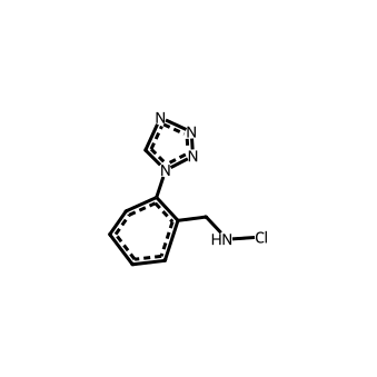 ClNCc1ccccc1-n1cnnn1